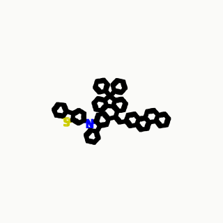 C(=C(\c1ccc2c(c1)c1ccccc1n2-c1ccc2c(c1)sc1ccccc12)c1cccc2c1-c1ccccc1C2(c1ccccc1)c1ccccc1)/c1ccc2c(ccc3c4ccccc4ccc23)c1